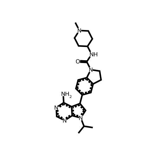 CC(C)n1cc(-c2ccc3c(c2)CCN3C(=O)NC2CCN(C)CC2)c2c(N)ncnc21